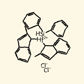 CC1=Cc2ccccc2[CH]1[Hf+2]([CH]1C(C)=Cc2ccccc21)[SiH](c1ccccc1)c1ccccc1.[Cl-].[Cl-]